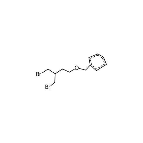 BrCC(CBr)CCOCc1ccccc1